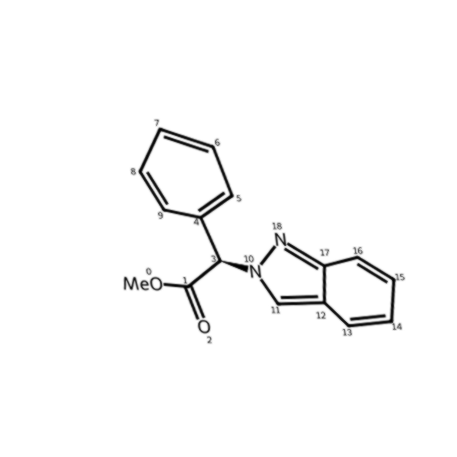 COC(=O)[C@@H](c1ccccc1)n1cc2ccccc2n1